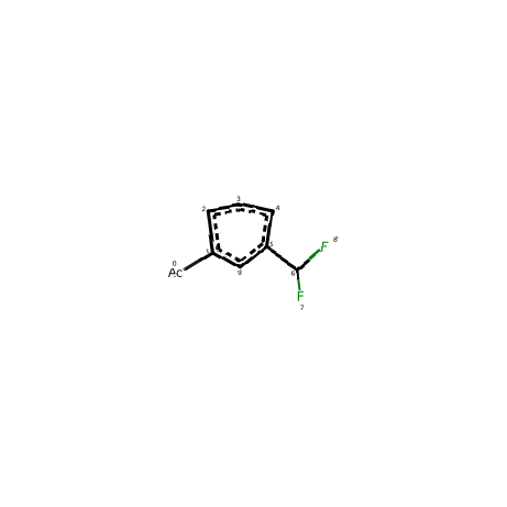 CC(=O)c1cccc(C(F)F)c1